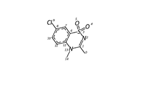 CC1=NS(=O)(=O)c2cc(Cl)ccc2N1C